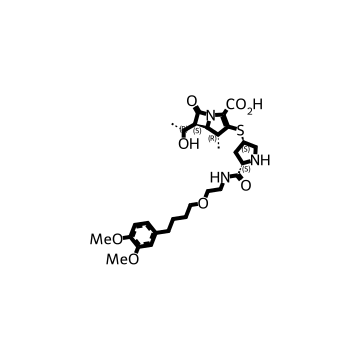 COc1ccc(CCCCOCCNC(=O)[C@@H]2C[C@H](SC3=C(C(=O)O)N4C(=O)[C@H]([C@@H](C)O)C4[C@H]3C)CN2)cc1OC